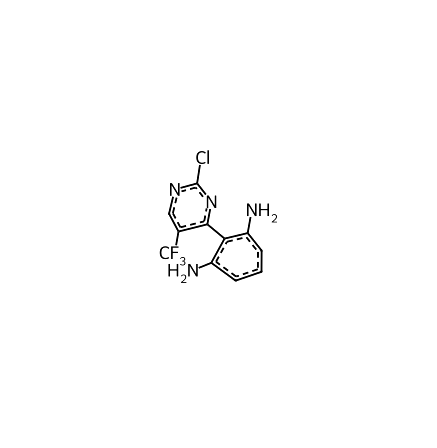 Nc1cccc(N)c1-c1nc(Cl)ncc1C(F)(F)F